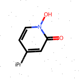 CC(C)c1ccn(O)c(=O)c1